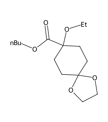 CCCCOC(=O)C1(OCC)CCC2(CC1)OCCO2